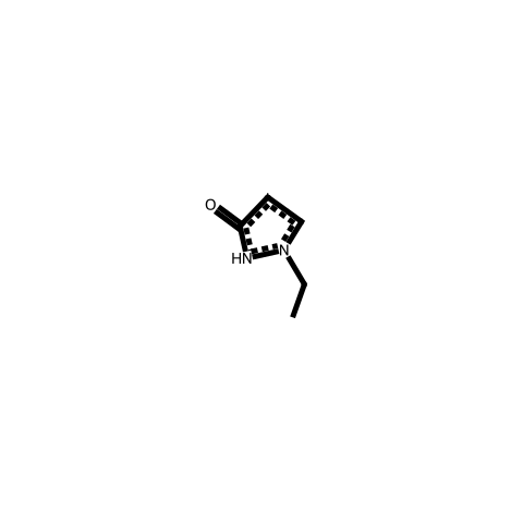 CCn1c[c]c(=O)[nH]1